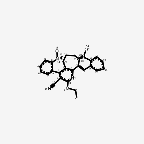 CCOc1nc2c(c(-c3ccccc3[N+](=O)[O-])c1C#N)CCCCC2=Cc1ccccc1[N+](=O)[O-]